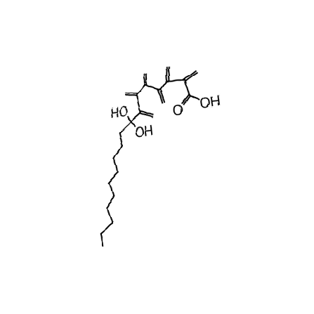 C=C(C(=C)C(=C)C(=C)C(O)(O)CCCCCCCCCC)C(=C)C(=C)C(=O)O